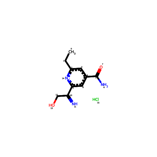 CCc1cc(C(N)=O)cc(C(=N)CO)n1.Cl